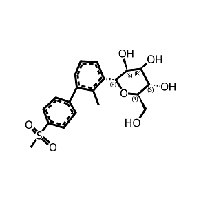 Cc1c(-c2ccc(S(C)(=O)=O)cc2)cccc1[C@H]1O[C@H](CO)[C@@H](O)[C@H](O)[C@@H]1O